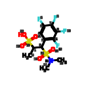 CC(C(c1cc(F)c(F)c(F)c1F)S(=O)(=O)N(C)C)S(=O)(=O)O